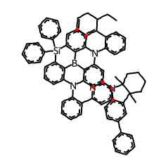 CCC1CC=CC=C1c1ccccc1N1c2cc(N3c4ccc(-c5ccccc5)cc4C4(C)CCCCC34C)cc3c2B2c4c1cccc4[Si](c1ccccc1)(c1ccccc1)c1cccc(c12)N3c1ccccc1-c1ccccn1